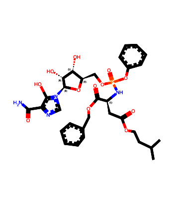 CC(C)CCOC(=O)C[C@H](NP(=O)(OC[C@H]1O[C@@H](n2cnc(C(N)=O)c2O)[C@H](O)[C@@H]1O)Oc1ccccc1)C(=O)OCc1ccccc1